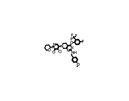 COc1ccc(CNc2nc3c(c(Oc4ccc(F)cc4C(F)(F)F)n2)CCN(c2cnn(C4CCCCO4)c(=O)c2Cl)C3)cc1